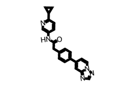 O=C(Cc1ccc(-c2ccn3ncnc3c2)cc1)Nc1ccc(C2CC2)nc1